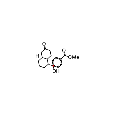 COC(=O)c1cccc([C@@]23CCC(=O)C[C@@H]2CCC[C@@H]3CO)c1